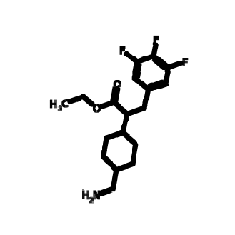 CCOC(=O)C(Cc1cc(F)c(F)c(F)c1)C1CCC(CN)CC1